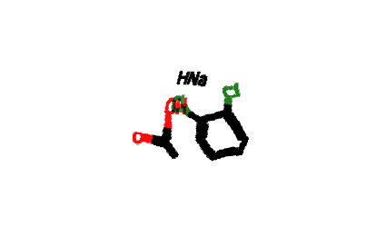 CC(=O)O.Clc1ccccc1Cl.[NaH]